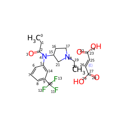 CCC(=O)N(c1cccc(C(F)(F)F)c1)C1CCN(CC)C1.O=C(O)/C=C/C(=O)O